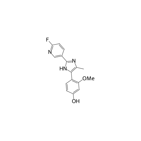 COc1cc(O)ccc1-c1[nH]c(-c2ccc(F)nc2)nc1C